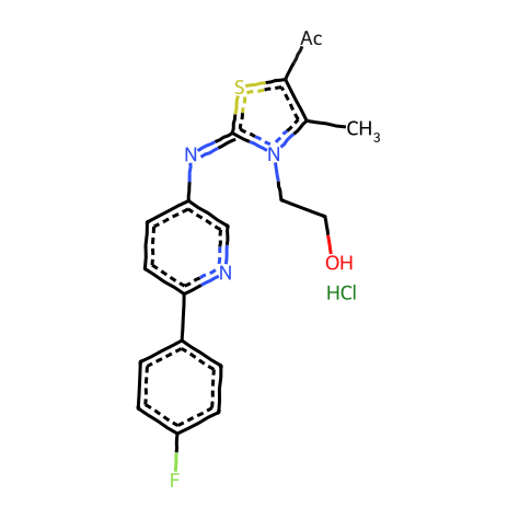 CC(=O)c1sc(=Nc2ccc(-c3ccc(F)cc3)nc2)n(CCO)c1C.Cl